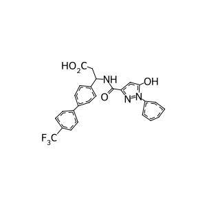 O=C(O)CC(NC(=O)c1cc(O)n(-c2ccccc2)n1)c1ccc(-c2ccc(C(F)(F)F)cc2)cc1